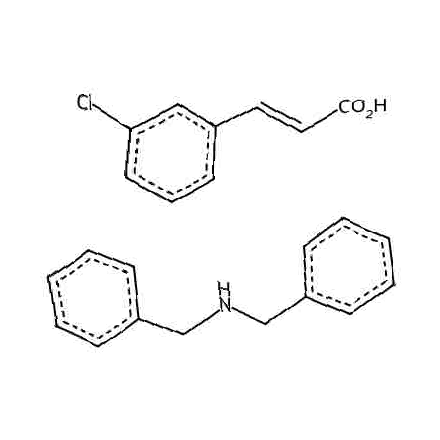 O=C(O)C=Cc1cccc(Cl)c1.c1ccc(CNCc2ccccc2)cc1